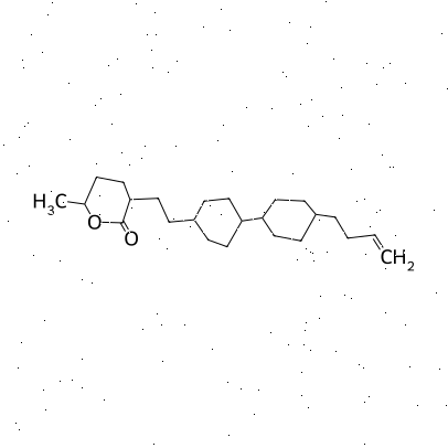 C=CCCC1CCC(C2CCC(CCC3CCC(C)OC3=O)CC2)CC1